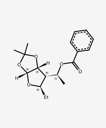 CC[C@H]1O[C@@H]2OC(C)(C)O[C@@H]2[C@@H]1[C@H](C)OC(=O)c1ccccc1